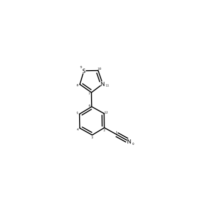 N#Cc1cccc(-c2cscn2)c1